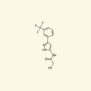 O=C(CS)Nc1cc(-c2cccc(C(F)(F)F)c2)n[nH]1